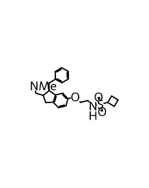 CNCC1Cc2ccc(OCCNS(=O)(=O)C3CCC3)cc2C1Cc1ccccc1